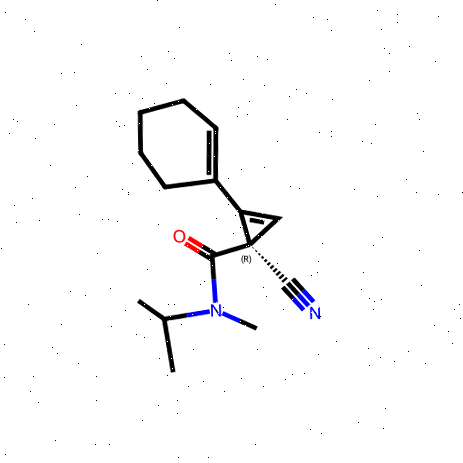 CC(C)N(C)C(=O)[C@]1(C#N)C=C1C1=CCCCC1